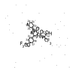 CC(C)(O)[C@H](NC(=O)c1cc(-c2ccc(OC(F)(F)F)cc2)nn(-c2cccnc2)c1=O)C(F)(F)F